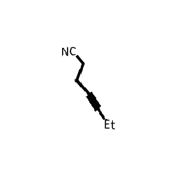 CCC#CCCC#N